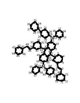 C(=C\c1cccc(-c2c3ccc(N(c4ccccc4)c4ccc(-c5ccccc5)cc4)cc3c(-c3cccc(/C=C/c4ccccc4)c3)c3ccc(N(c4ccccc4)c4ccccc4)cc23)c1)/c1ccccc1